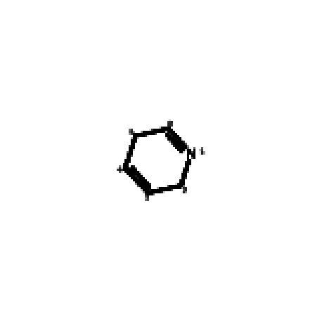 [C]1=NCC=CC1